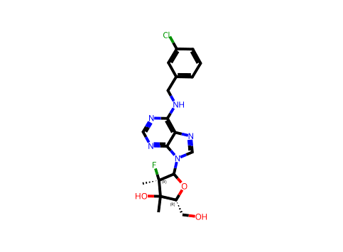 CC1(O)[C@@H](CO)OC(n2cnc3c(NCc4cccc(Cl)c4)ncnc32)[C@]1(C)F